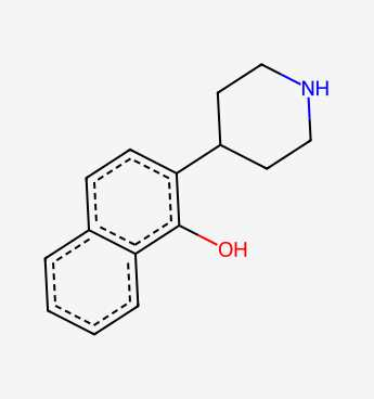 Oc1c(C2CCNCC2)ccc2ccccc12